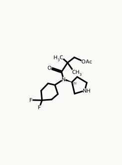 CC(=O)OCC(C)(C)C(=O)N(C1CCC(F)(F)CC1)[C@H]1CCNC1